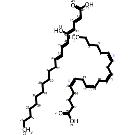 CCCCC/C=C\C/C=C\C/C=C\C/C=C\CCCC(=O)O.CCCCCCCCCCCC=CC=CC(O)=CC=CC(=O)O